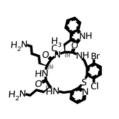 CN1C(=O)[C@H](CCCCN)NC(=O)[C@H](CCCN)NCc2cccnc2Sc2c(Cl)ccc(Br)c2CNC(=O)[C@@H]1Cc1c[nH]c2ccccc12